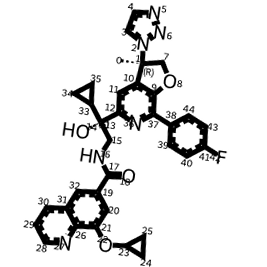 C[C@]1(n2ccnn2)COc2c1cc([C@@](O)(CNC(=O)c1cc(OC3CC3)c3ncccc3c1)C1CC1)nc2-c1ccc(F)cc1